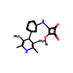 CCOc1c(Nc2cccc(C3C(C(=O)O)=C(C)NC(C)=C3C(=O)O)c2)c(=O)c1=O